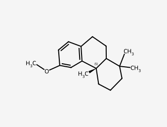 COc1ccc2c(c1)[C@@]1(C)CCCC(C)(C)C1CC2